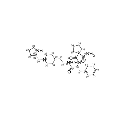 NC(=O)C1(C(=O)N[C@H](Cc2ccccc2)C(=O)NCCC2CCN(C[C@@H]3CCCN3)CC2)CCCC1